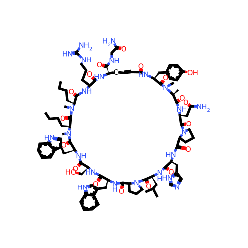 CCCC[C@H]1C(=O)N(C)[C@@H](CCCC)C(=O)NC(CCCNC(=N)N)C(=O)N[C@H](C(=O)NCC(N)=O)C/C=C/C(=O)N[C@@H](Cc2ccc(O)cc2)C(=O)N(C)[C@@H](C)C(=O)N[C@@H](CC(N)=O)C(=O)N2CCCC2C(=O)N[C@@H](Cc2cnc[nH]2)C(=O)N[C@@H](CC(C)C)C(=O)N2CCCC2C(=O)N[C@@H](Cc2c[nH]c3ccccc23)C(=O)N[C@@H](CO)C(=O)N[C@@H](Cc2c[nH]c3ccccc23)C(=O)N1C